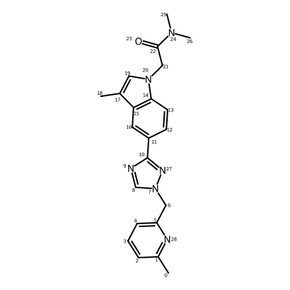 Cc1cccc(Cn2cnc(-c3ccc4c(c3)c(C)cn4CC(=O)N(C)C)n2)n1